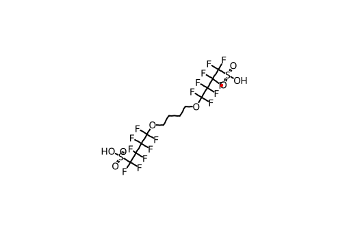 O=S(=O)(O)C(F)(F)C(F)(F)C(F)(F)C(F)(F)OCCCCOC(F)(F)C(F)(F)C(F)(F)C(F)(F)S(=O)(=O)O